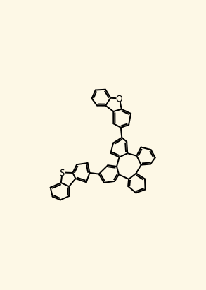 c1ccc2c(c1)-c1ccccc1-c1cc(-c3ccc4oc5ccccc5c4c3)ccc1-c1cc(-c3ccc4sc5ccccc5c4c3)ccc1-2